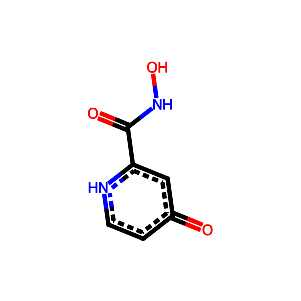 O=C(NO)c1cc(=O)cc[nH]1